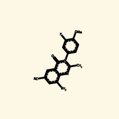 Bc1cc(C#N)cc2c(=O)n(-c3ccc(OC)c(F)c3)c(C)nc12